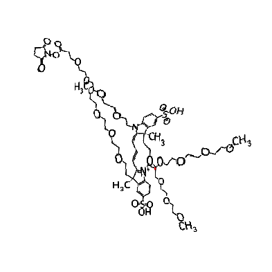 COCCOCCOCCOCC[N+]1=C(/C=C/C=C2/N(CCOCCOCCOCCOCCC(=O)ON3C(=O)CCC3=O)c3ccc(S(=O)(=O)O)cc3C2(C)CCOCCOCCOCCOC)C(C)(CCOCCOCCOCCOC)c2cc(S(=O)(=O)O)ccc21